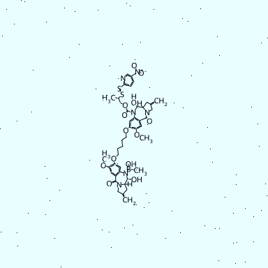 C=C1C[C@H]2[C@H](O)N(B(C)O)c3cc(OCCCCCOc4cc5c(cc4OC)C(=O)N4CC(=C)C[C@H]4[C@H](O)N5C(=O)OC[C@@H](C)SSc4ccc([N+](=O)[O-])cn4)c(OC)cc3C(=O)N2C1